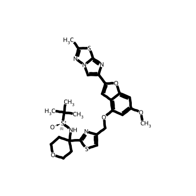 COc1cc(OCc2csc(C3(N[S@+]([O-])C(C)(C)C)CCOCC3)n2)c2cc(-c3cn4nc(C)sc4n3)oc2c1